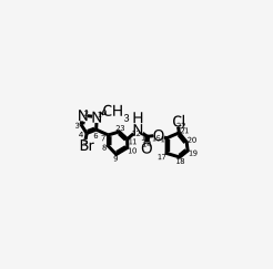 Cn1ncc(Br)c1-c1cccc(NC(=O)Oc2ccccc2Cl)c1